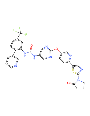 O=C(Nc1cnc(Oc2ccc(-c3cnc(N4CCCC4=O)s3)nc2)nc1)Nc1cc(C(F)(F)F)ccc1-c1cccnc1